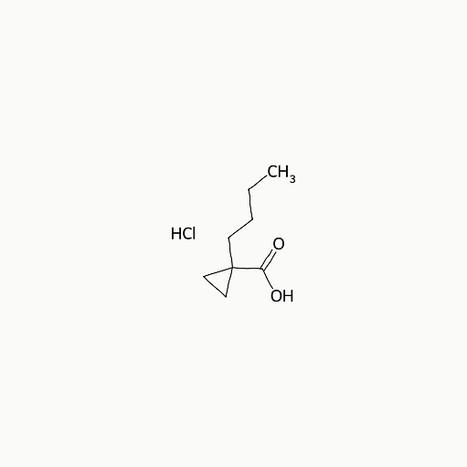 CCCCC1(C(=O)O)CC1.Cl